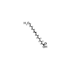 CCCCCCC=CCCCCCCCC(=O)O